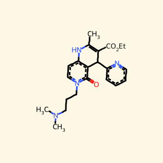 CCOC(=O)C1=C(C)Nc2ccn(CCCN(C)C)c(=O)c2C1c1ccccn1